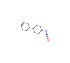 O=C=NC1CCC(C2CC#CCC2)CC1